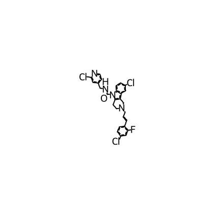 O=C(NCc1ccnc(Cl)c1)n1c2c(c3cc(Cl)ccc31)CN(CC=Cc1ccc(Cl)cc1F)CC2